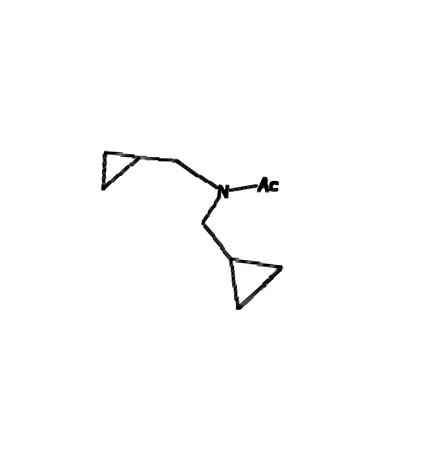 CC(=O)N(CC1CC1)CC1CC1